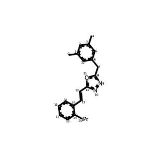 Cc1cc(C)cc(Cc2nnc(/C=C/c3ccccc3C(C)C)o2)c1